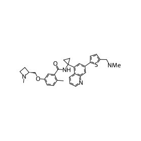 CNCc1ccc(-c2cc(C3(NC(=O)c4cc(OC[C@@H]5CCN5C)ccc4C)CC3)c3cccnc3c2)s1